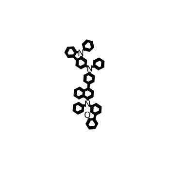 c1ccc(N(c2ccc(-c3ccc(N(c4ccccc4)c4cccc5c4oc4ccccc45)c4ccccc34)cc2)c2ccc3c4ccccc4n(-c4ccccc4)c3c2)cc1